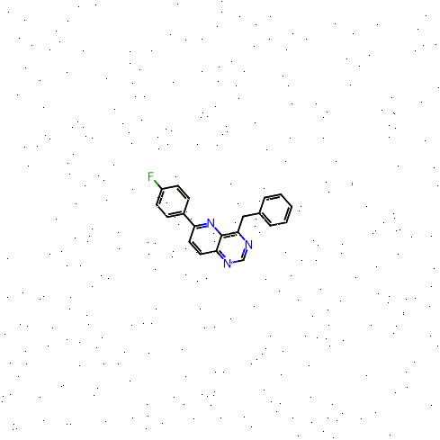 Fc1ccc(-c2ccc3ncnc(Cc4ccccc4)c3n2)cc1